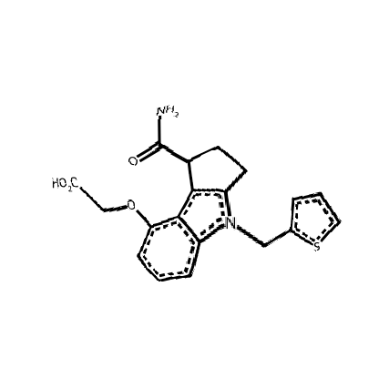 NC(=O)C1CCc2c1c1c(OCC(=O)O)cccc1n2Cc1cccs1